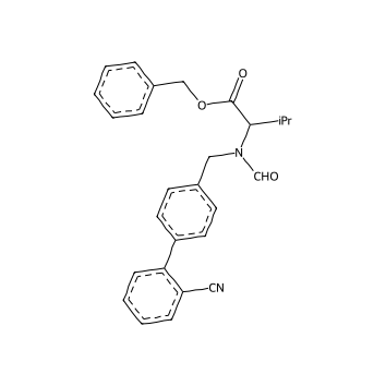 CC(C)C(C(=O)OCc1ccccc1)N(C=O)Cc1ccc(-c2ccccc2C#N)cc1